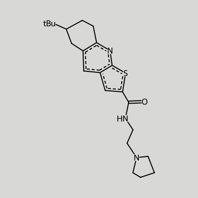 CC(C)(C)C1CCc2nc3sc(C(=O)NCCN4CCCC4)cc3cc2C1